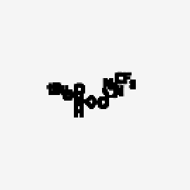 CC(C)(C)OC(=O)N[C@H]1C[C@H](Oc2cnc(C(F)(F)F)nc2)C1